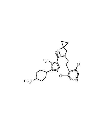 CC1(CN(CCc2c(Cl)cncc2Cl)C(=O)c2cnn(C3CCC(C(=O)O)CC3)c2C(F)(F)F)CC1